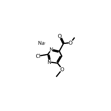 COC(=O)c1cc(OC)nc(Cl)n1.[Na]